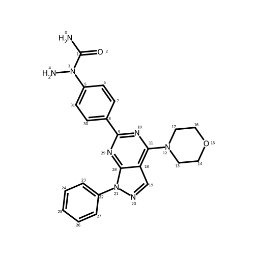 NC(=O)N(N)c1ccc(-c2nc(N3CCOCC3)c3cnn(-c4ccccc4)c3n2)cc1